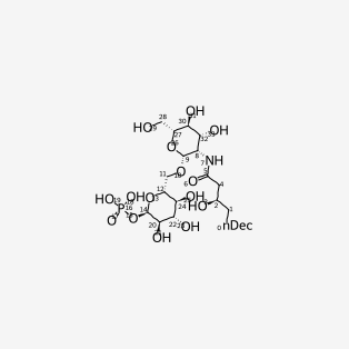 CCCCCCCCCCC[C@@H](O)CC(=O)N[C@@H]1[C@H](OC[C@H]2O[C@H](OP(=O)(O)O)[C@H](O)[C@@H](O)[C@@H]2O)O[C@H](CO)[C@@H](O)[C@@H]1O